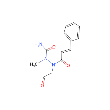 CN(C(N)=O)N(C[C]=O)C(=O)/C=C/c1ccccc1